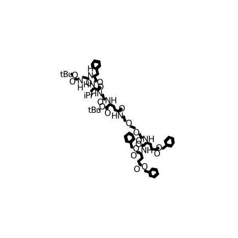 CC(C)CC(NC(=O)C(Cc1ccccc1)NC(=O)CNC(=O)OC(C)(C)C)C(=O)NCC(=O)NC(CCC(=O)NCCOCCOCC(=O)NC(CCC(=O)OCc1ccccc1)C(=O)NC(CCC(=O)OCc1ccccc1)C(=O)OCc1ccccc1)C(=O)OC(C)(C)C